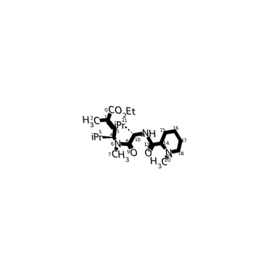 CCOC(=O)/C(C)=C/[C@H](C(C)C)N(C)C(=O)[C@@H](NC(=O)C1CCCCN1C)C(C)C